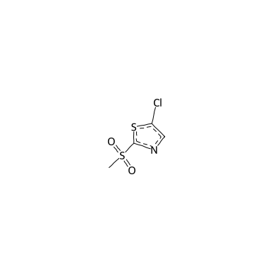 CS(=O)(=O)c1ncc(Cl)s1